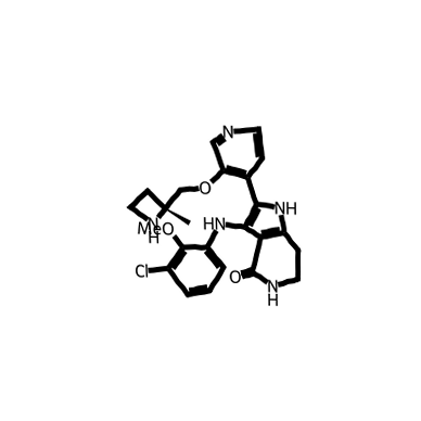 COc1c(Cl)cccc1Nc1c(-c2ccncc2OC[C@@]2(C)CCN2)[nH]c2c1C(=O)NCC2